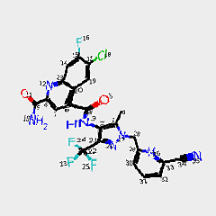 Cc1c(NC(=O)c2cc(C(N)=O)nc3cc(F)c(Cl)cc23)c(C(F)(F)F)nn1Cc1cccc(C#N)n1